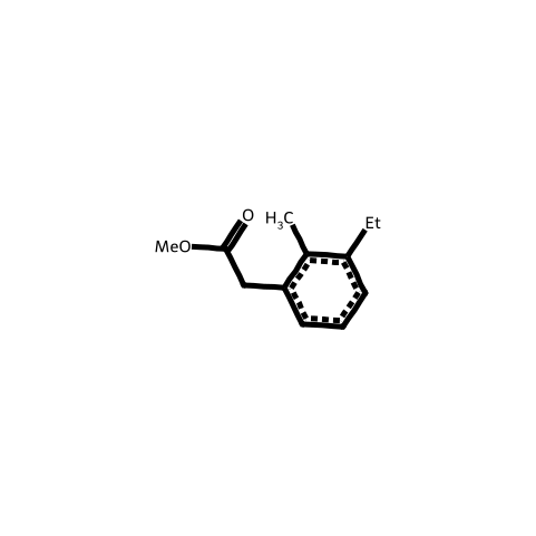 CCc1cccc(CC(=O)OC)c1C